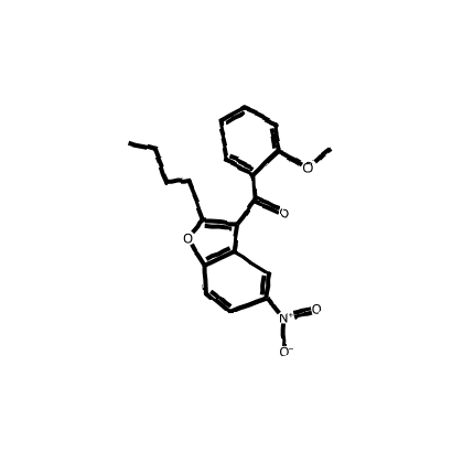 CCCCc1oc2ccc([N+](=O)[O-])cc2c1C(=O)c1ccccc1OC